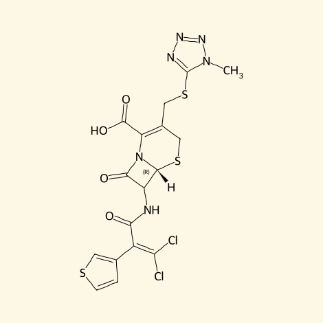 Cn1nnnc1SCC1=C(C(=O)O)N2C(=O)C(NC(=O)C(=C(Cl)Cl)c3ccsc3)[C@H]2SC1